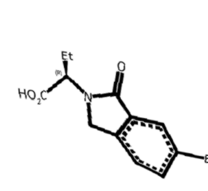 CC[C@H](C(=O)O)N1Cc2ccc(Br)cc2C1=O